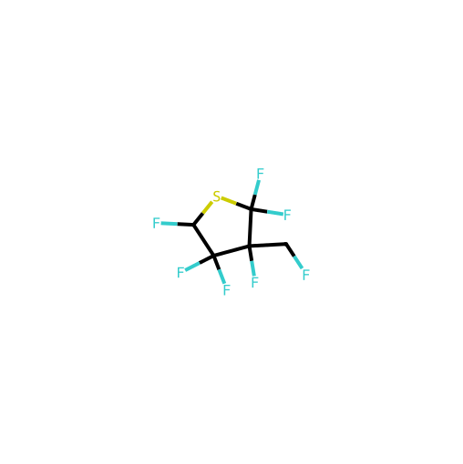 FCC1(F)C(F)(F)SC(F)C1(F)F